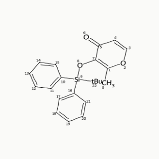 Cc1occc(=O)c1O[Si](c1ccccc1)(c1ccccc1)C(C)(C)C